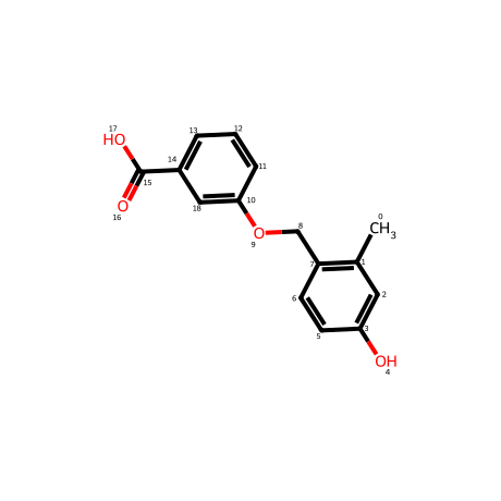 Cc1cc(O)ccc1COc1cccc(C(=O)O)c1